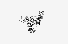 C[C@@H](c1ccc(-n2cc(F)cn2)nc1)N(C)c1ccc(-c2cc(N3CCCCC3)cn3ncc(C#N)c23)cn1